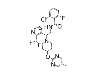 Cc1cnc(OC2CCN(C(CNC(=O)c3c(F)cccc3Cl)c3scnc3C(F)F)CC2)nc1